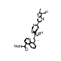 CNC(=O)c1ccnc2c([C@@H](C)CNc3cc(-c4cnc5c(F)c(C)nn5c4)ncn3)cccc12